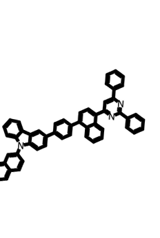 c1ccc(-c2cc(-c3ccc(-c4ccc(-c5ccc6c(c5)c5ccccc5n6-c5ccc6ccccc6c5)cc4)c4ccccc34)nc(-c3ccccc3)n2)cc1